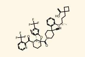 C=C(O)C1(CC[C@H](C)Oc2ccccc2C2(C#N)CCN(C(=O)[C@]3(Oc4csc(C(F)(F)F)c4)CCCN(C(=O)c4ncccc4C(F)(F)F)[C@@H]3CCC)CC2)CCC1